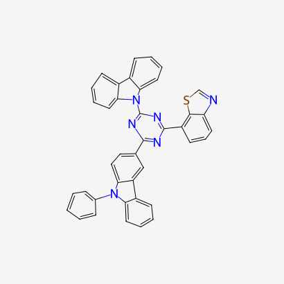 c1ccc(-n2c3ccccc3c3cc(-c4nc(-c5cccc6ncsc56)nc(-n5c6ccccc6c6ccccc65)n4)ccc32)cc1